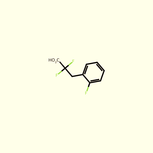 O=C(O)C(F)(F)Cc1ccccc1F